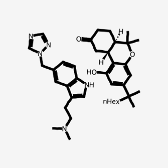 CCCCCCC(C)(C)c1cc(O)c2c(c1)OC(C)(C)[C@@H]1CCC(=O)C[C@@H]21.CN(C)CCc1c[nH]c2ccc(Cn3cncn3)cc12